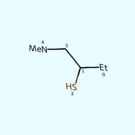 CCC(S)CNC